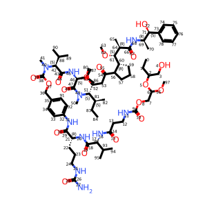 CCC(CO)OC(COC(=O)NCCC(=O)N[C@@H](C(=O)N[C@H](CCCNC(N)=O)C(=O)Nc1ccc(COC(=O)N(C)[C@H](C(=O)N[C@H](C(=O)N(C)[C@H](C(CC(=O)C2CCC[C@H]2[C@H](OC)[C@@H](C)C(=O)N[C@H](C)[C@@H](O)c2ccccc2)OC)[C@@H](C)CC)C(C)C)C(C)C)cc1)C(C)C)OC